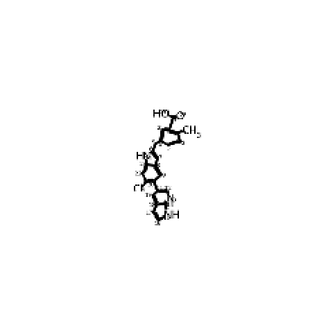 Cc1ccc(Cc2cc3cc(-c4cnc5[nH]ccc5c4)c(Cl)cc3[nH]2)cc1C(=O)O